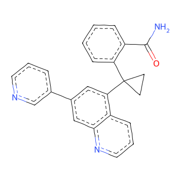 NC(=O)c1ccccc1C1(c2cc(-c3cccnc3)cc3ncccc23)CC1